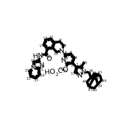 Cc1c(-c2ccc(N3CCc4cccc(C(=O)Nc5cn6ccccc6n5)c4C3)nc2OC(=O)O)cnn1CC12CC3CC(CC(C3)C1)C2